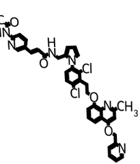 CC(=O)Nc1ccc(/C=C/C(=O)NCc2cccn2-c2ccc(Cl)c(CCOc3cccc4c(OCc5ccccn5)cc(C)nc34)c2Cl)cn1